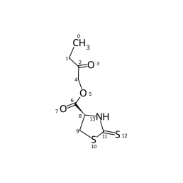 CCC(=O)COC(=O)[C@@H]1CSC(=S)N1